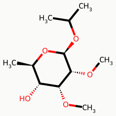 CO[C@@H]1[C@H](O)[C@@H](C)O[C@@H](OC(C)C)[C@@H]1OC